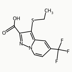 CCSc1c(C(=O)O)nn2ccc(C(F)(F)F)cc12